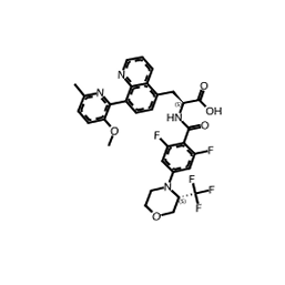 COc1ccc(C)nc1-c1ccc(C[C@H](NC(=O)c2c(F)cc(N3CCOC[C@H]3C(F)(F)F)cc2F)C(=O)O)c2cccnc12